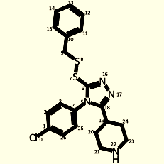 Clc1ccc(-n2c(SSCc3ccccc3)nnc2C2CCNCC2)cc1